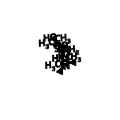 Cc1c(C2CC2)nc(C2CC2)c(C)c1NC(=O)N=[S@@](N)(=O)c1cc(C(C)(C)O)cs1